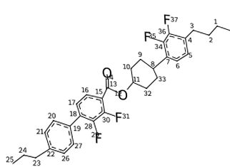 CCCCc1ccc(C2CCC(OC(=O)c3ccc(-c4ccc(CCC)cc4)c(F)c3F)CC2)c(F)c1F